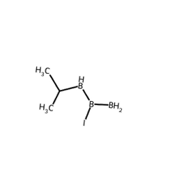 BB(I)BC(C)C